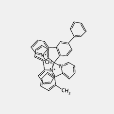 Cc1ccccc1-c1cccc[n+]1C1(c2ccc(-c3ccccc3)cc2-c2cccc[n+]2C)c2ccccc2-c2cccc[n+]21